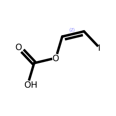 O=C(O)O/C=C\I